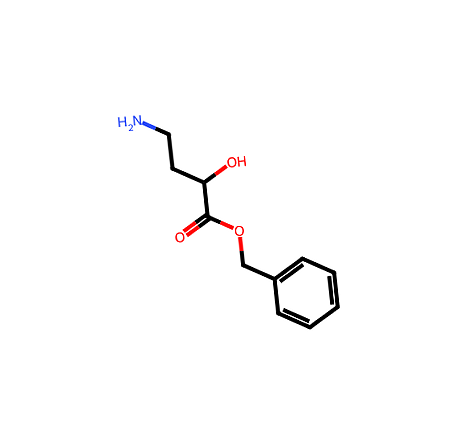 NCCC(O)C(=O)OCc1ccccc1